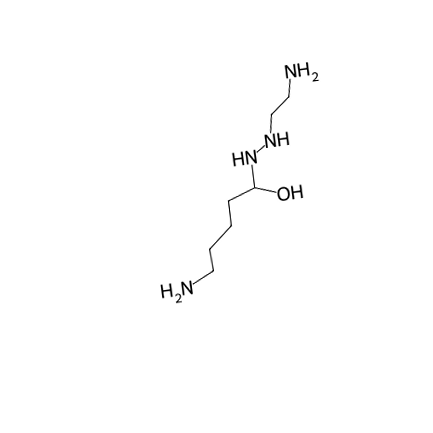 NCCCCC(O)NNCCN